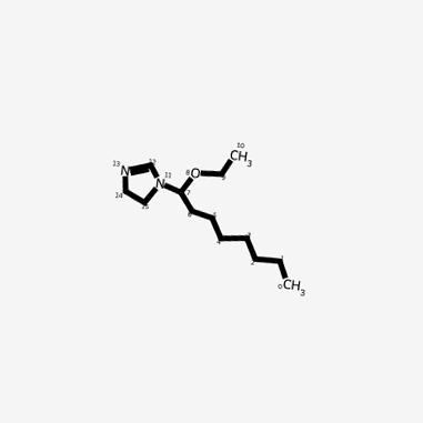 CCCCCCCC(OCC)N1C=NCC1